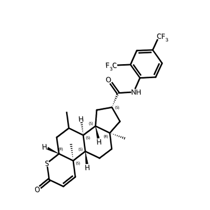 CC1C[C@H]2SC(=O)C=C[C@]2(C)[C@H]2CC[C@]3(C)C[C@@H](C(=O)Nc4ccc(C(F)(F)F)cc4C(F)(F)F)C[C@H]3[C@H]12